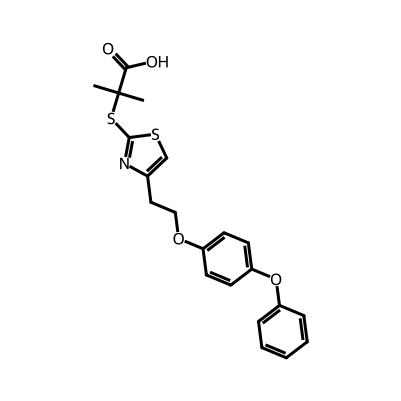 CC(C)(Sc1nc(CCOc2ccc(Oc3ccccc3)cc2)cs1)C(=O)O